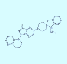 N[C@@H]1c2ccccc2CC12CCN(c1cnc3c(N4CCCc5ncccc54)n[nH]c3n1)CC2